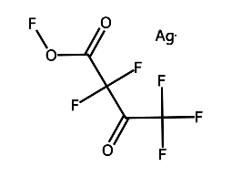 O=C(OF)C(F)(F)C(=O)C(F)(F)F.[Ag]